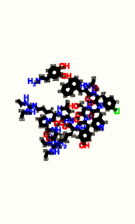 CCNC(=NCCCC[C@H](NC(=O)[C@H](CC(C)C)NC(=O)[C@@H](CCCCN=C(NCC)NCC)NC(=O)[C@H](Cc1ccc(O)cc1)NC(=O)[C@H](CO)NC(=O)[C@@H](Cc1cccnc1)NC(=O)[C@@H](Cc1ccc(Cl)cc1)NC(=O)[C@@H](Cc1cccc2ccccc12)NC(C)=O)C(=O)N1CCC[C@H]1C(=O)N[C@H](C)C(N)=O)NCC.NCCc1ccc(O)c(O)c1